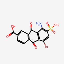 Nc1c(S(=O)(=O)O)cc(Br)c2c1C(=O)c1cc(C(=O)O)ccc1C2=O